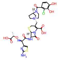 C[C@H](O/N=C(\C(=O)N[C@@H]1C(=O)N2C(C(=O)O)=C(C[N@+]34CC[C@H](C3)N(C(=O)c3ccc(O)c(O)c3Cl)CC4)CS[C@H]12)c1csc(N)n1)C(=O)O